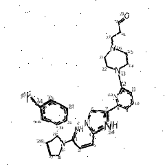 N=C(/C=C\c1ncc(-c2cccc(N3CCN(CCC=O)CC3)n2)[nH]1)N1CCC[C@@H]1c1cccc(F)c1